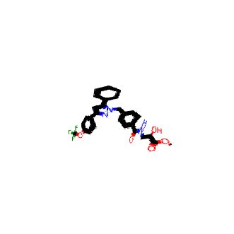 COC(=O)[C@H](O)CNC(=O)c1ccc(Cn2nc(-c3ccc(OC(F)(F)F)cc3)cc2C2CCCCC2)cc1